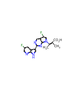 C/C(C(=O)O)=C(\C)n1cc(F)c2cnc(-c3c[nH]c4ncc(F)cc34)nc21